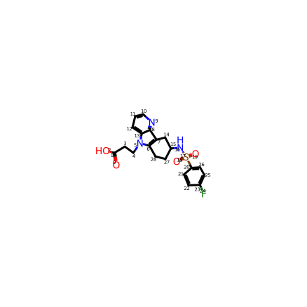 O=C(O)CCn1c2c(c3ncccc31)CC(NS(=O)(=O)c1ccc(F)cc1)CC2